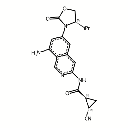 CC(C)[C@H]1COC(=O)N1c1cc(N)c2cnc(NC(=O)[C@H]3C[C@@H]3C#N)cc2c1